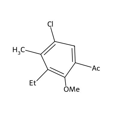 CCc1c(C)c(Cl)cc(C(C)=O)c1OC